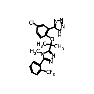 Cn1c(-c2ccccc2C(F)(F)F)nnc1C(C)(C)Oc1ccc(Cl)cc1-c1nnn[nH]1